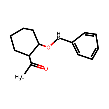 CC(=O)C1CCCCC1OBc1ccccc1